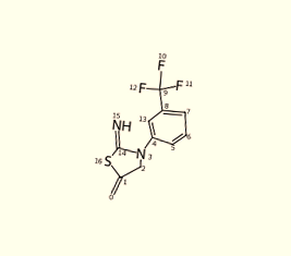 C=C1CN(c2cccc(C(F)(F)F)c2)C(=N)S1